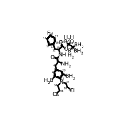 Bc1cc(CC(N)C(=O)NC(Cc2ccc(F)cc2)C(=O)OC(B)(O)C(B)(B)B)cc(B)c1N(CCCl)CCCl